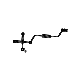 CC(=O)OCC#CCOS(=O)(=O)C(F)(F)F